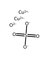 O=S(=O)([O-])[O-].[Cu+2].[Cu+2].[O-2]